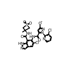 COc1cc(C(=O)Nc2c(Cl)cc3cn[nH]c3c2C(=O)NC2(C)CS(=O)(=O)C2)n(-c2ncccc2Cl)n1